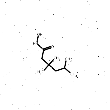 CC(C)CC(C)(C)CC(=O)NO